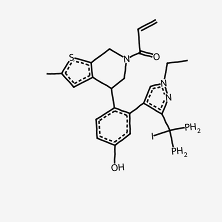 C=CC(=O)N1Cc2sc(C)cc2C(c2ccc(O)cc2-c2cn(CC)nc2C(P)(P)I)C1